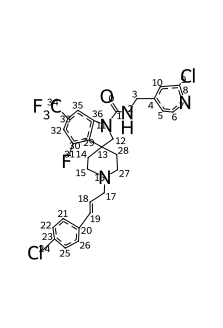 O=C(NCc1ccnc(Cl)c1)N1CC2(CCN(CC=Cc3ccc(Cl)cc3)CC2)c2c(F)cc(C(F)(F)F)cc21